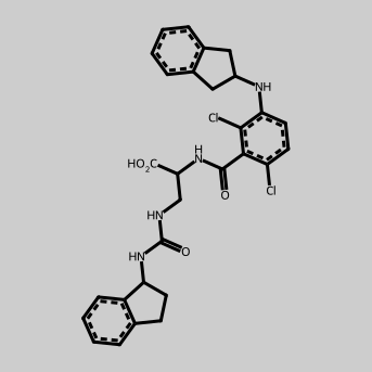 O=C(NCC(NC(=O)c1c(Cl)ccc(NC2Cc3ccccc3C2)c1Cl)C(=O)O)NC1CCc2ccccc21